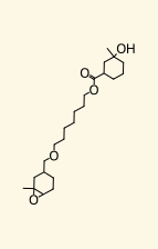 CC1(O)CCCC(C(=O)OCCCCCCCOCC2CCC3OC3(C)C2)C1